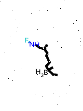 BC(C)(CC)CCCCC(C)CCNF